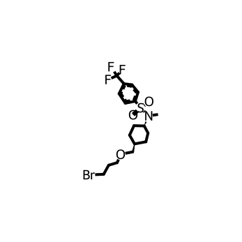 CN([C@H]1CC[C@H](COCCCBr)CC1)S(=O)(=O)c1ccc(C(F)(F)F)cc1